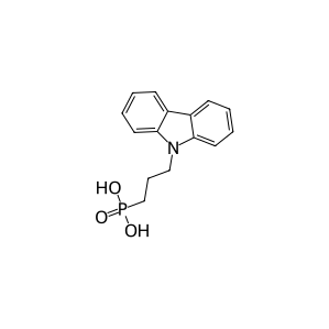 O=P(O)(O)CCCn1c2ccccc2c2ccccc21